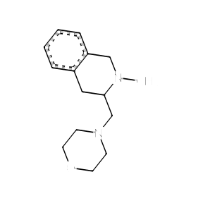 CN1Cc2ccccc2CC1CN1CCOCC1